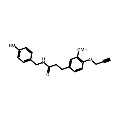 C#CCOc1ccc(CCC(=O)NCc2ccc(O)cc2)cc1OC